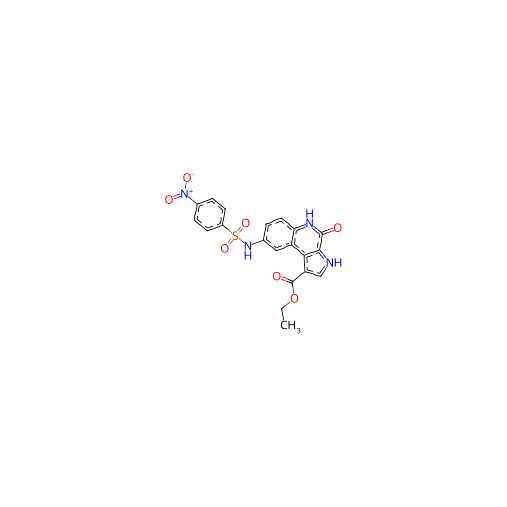 CCOC(=O)c1c[nH]c2c(=O)[nH]c3ccc(NS(=O)(=O)c4ccc([N+](=O)[O-])cc4)cc3c12